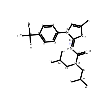 Cc1cn(-c2ccc(C(F)(F)F)cc2)/c(=N/C(=O)N(CC(C)C)CC(C)C)s1